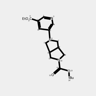 CCOC(=O)c1cncc(N2CC3CN(C(=O)OC(C)(C)C)CC3C2)c1